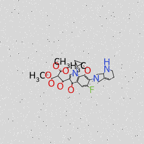 COC(=O)C(C(=O)OC)C(=O)c1cn(C2CC2)c2c(OC)c(N3CC4=CCCNC4C3)c(F)cc2c1=O